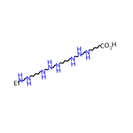 CCNCCNCCCCCNCCNCCNCCCCCNCCNCCNCCCCCC(=O)O